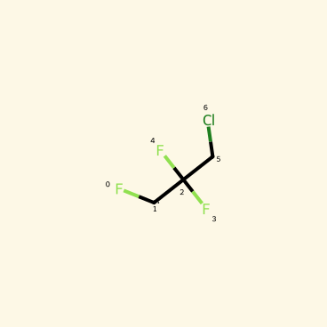 F[CH]C(F)(F)CCl